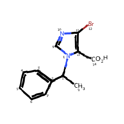 CC(c1ccccc1)n1cnc(Br)c1C(=O)O